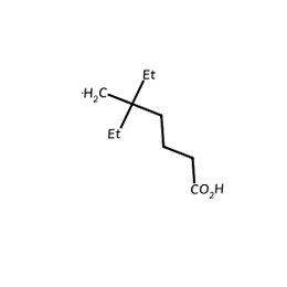 [CH2]C(CC)(CC)CCCC(=O)O